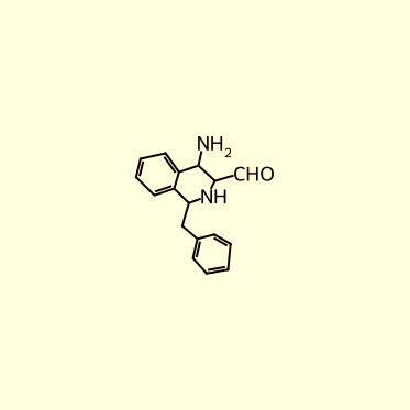 NC1c2ccccc2C(Cc2ccccc2)NC1C=O